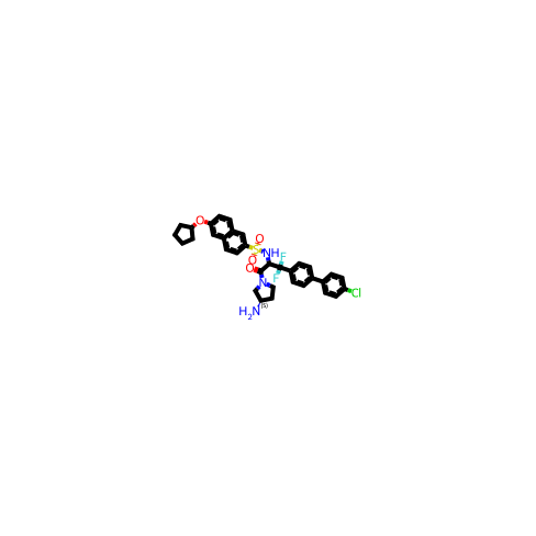 N[C@H]1CCN(C(=O)C(NS(=O)(=O)c2ccc3cc(OC4CCCC4)ccc3c2)C(F)(F)c2ccc(-c3ccc(Cl)cc3)cc2)C1